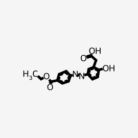 CCOC(=O)c1ccc(/N=N/c2ccc(O)c(CC(=O)O)c2)cc1